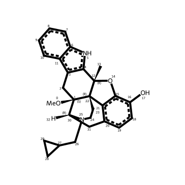 CO[C@@]12Cc3c([nH]c4ccccc34)[C@]3(C)Oc4c(O)ccc5c4[C@@]31CCN(CC1CC1)[C@@H]2C5